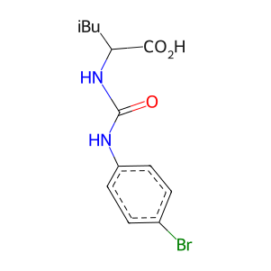 CCC(C)C(NC(=O)Nc1ccc(Br)cc1)C(=O)O